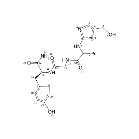 CC(C)C(Nc1ncc(CO)s1)C(=O)NCC(=O)N[C@@H](Cc1ccc(O)cc1)C(N)=O